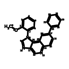 COc1ccccc1-n1cnc2cnc3ccc(-c4ccccc4)cc3c21